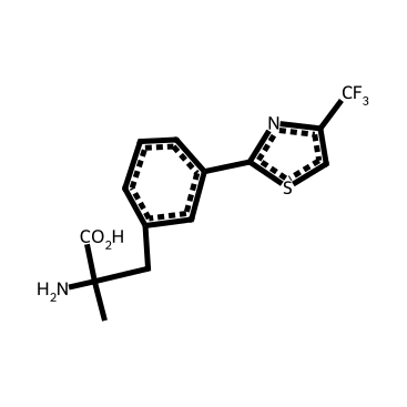 CC(N)(Cc1cccc(-c2nc(C(F)(F)F)cs2)c1)C(=O)O